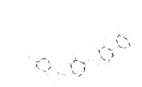 CCCc1ccc(C(F)(F)Oc2ccc(CCc3ccc(-c4ccc(F)c(F)c4)c(F)c3F)c(F)c2)cc1